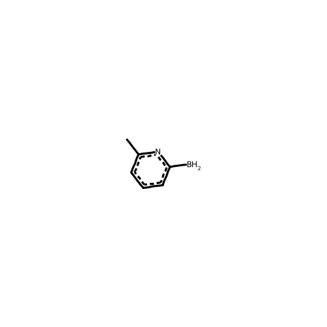 Bc1cccc(C)n1